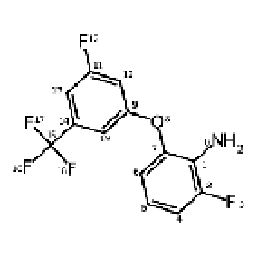 Nc1c(F)cccc1Oc1cc(F)cc(C(F)(F)F)c1